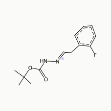 CC(C)(C)OC(=O)N/N=C/Cc1ccccc1F